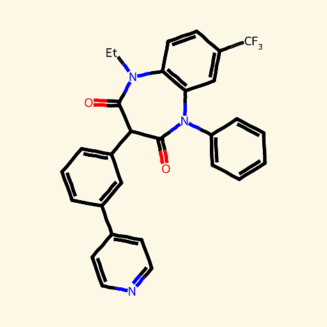 CCN1C(=O)C(c2cccc(-c3ccncc3)c2)C(=O)N(c2ccccc2)c2cc(C(F)(F)F)ccc21